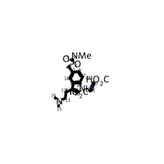 CNS(=O)(=O)Cc1ccc2[nH]cc(CCN(C)C)c2c1.O=C(O)/C=C\C(=O)O